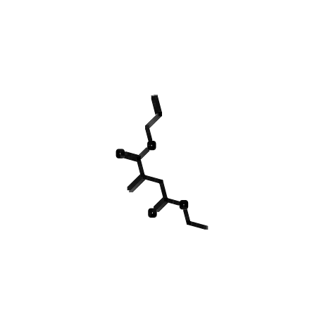 C=CCOC(=O)C(=C)CC(=O)OCC